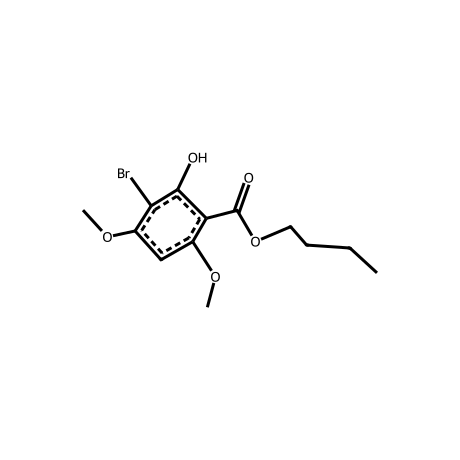 CCCCOC(=O)c1c(OC)cc(OC)c(Br)c1O